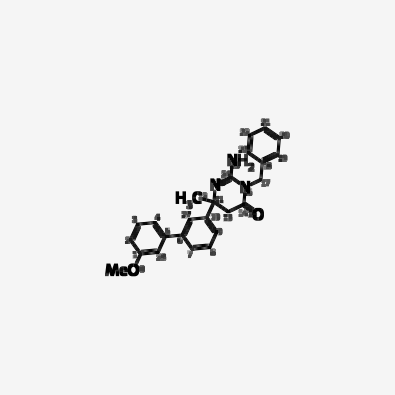 COc1cccc(-c2cccc(C3(C)CC(=O)N(Cc4ccccc4)C(N)=N3)c2)c1